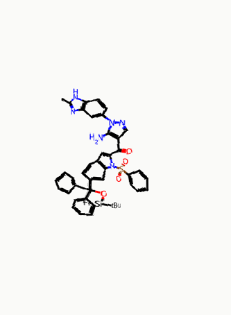 Cc1nc2cc(-n3ncc(C(=O)c4cc5ccc(C(O[SiH2]C(C)(C)C)(c6ccccc6)c6ccccc6)cc5n4S(=O)(=O)c4ccccc4)c3N)ccc2[nH]1